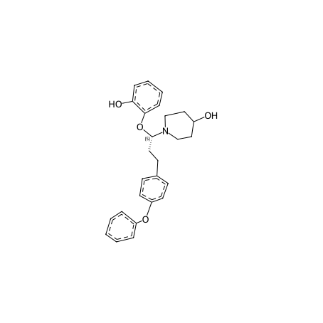 Oc1ccccc1O[C@@H](CCc1ccc(Oc2ccccc2)cc1)N1CCC(O)CC1